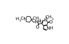 CN1CCC(C)(CNC(=O)c2cn(C)c(=O)c3[nH]ccc23)CC1